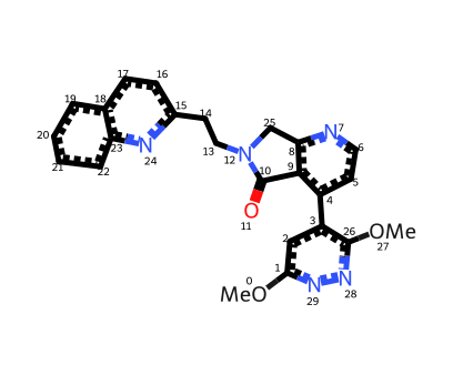 COc1cc(-c2ccnc3c2C(=O)N(CCc2ccc4ccccc4n2)C3)c(OC)nn1